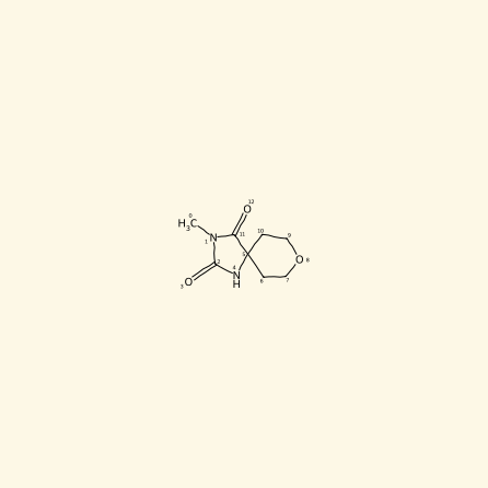 CN1C(=O)NC2(CCOCC2)C1=O